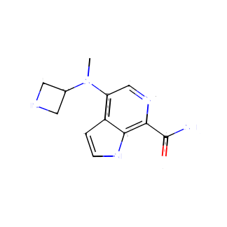 CN(c1cnc(C(N)=O)c2[nH]ccc12)C1CNC1